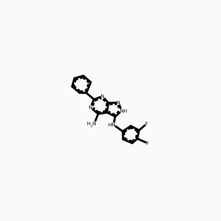 Nc1nc(-c2ccccc2)nc2n[nH]c(Nc3ccc(F)c(F)c3)c12